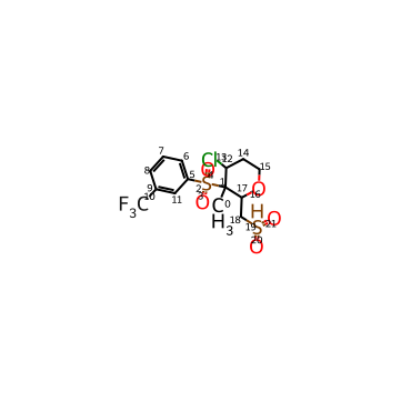 CC1(S(=O)(=O)c2cccc(C(F)(F)F)c2)C(Cl)CCOC1C[SH](=O)=O